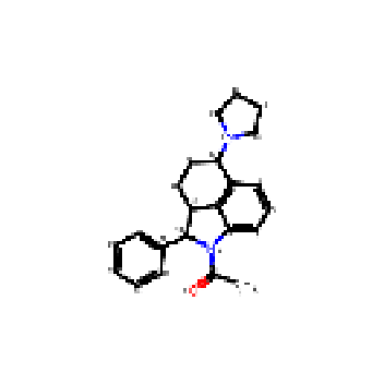 CC(=O)N1c2cccc3c2C(CCC3N2CCCC2)C1c1ccccc1